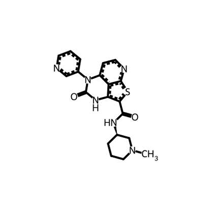 CN1CCC[C@@H](NC(=O)c2sc3nccc4c3c2NC(=O)N4c2cccnc2)C1